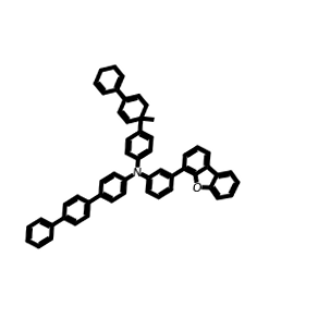 CC1(c2ccc(N(c3ccc(-c4ccc(-c5ccccc5)cc4)cc3)c3cccc(-c4cccc5c4oc4ccccc45)c3)cc2)C=CC(C2=CCCC=C2)=CC1